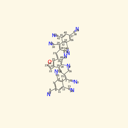 N#C/C(c1c(C#N)cc(C#N)cc1C#N)=c1\cnc2c(c1)c1ccoc1c1c/c(=C(\C#N)c3c(C#N)cc(C#N)cc3C#N)cnc12